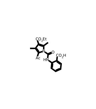 CCOC(=O)c1c(C)c(C(C)=O)n(C(=O)Nc2ccccc2C(=O)O)c1C